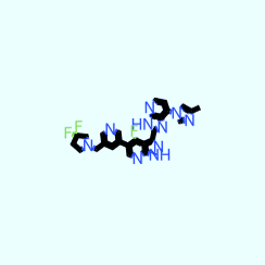 Cc1cn(-c2ccnc3[nH]c(-c4n[nH]c5ncc(-c6cncc(CN7CCC(F)(F)C7)c6)c(F)c45)nc23)cn1